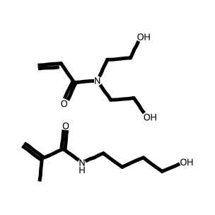 C=C(C)C(=O)NCCCCO.C=CC(=O)N(CCO)CCO